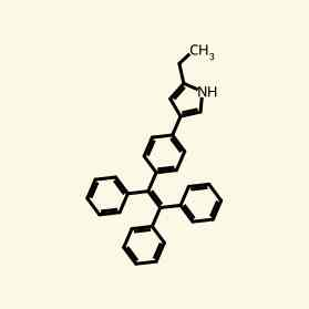 CCc1cc(-c2ccc(C(=C(c3ccccc3)c3ccccc3)c3ccccc3)cc2)c[nH]1